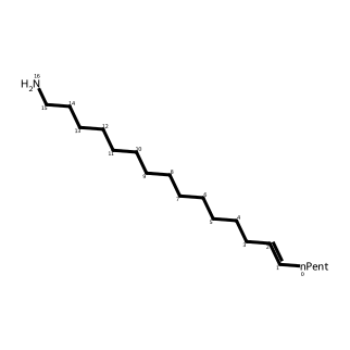 CCCCCC=CCCCCCCCCCCCCCN